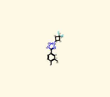 Cc1ccc(-c2nnn(C3CC(F)(F)C3)n2)cc1C